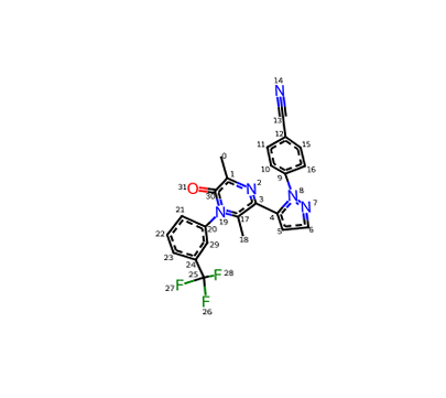 Cc1nc(-c2ccnn2-c2ccc(C#N)cc2)c(C)n(-c2cccc(C(F)(F)F)c2)c1=O